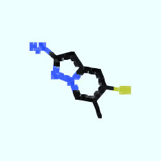 Cc1cn2nc(N)cc2cc1S